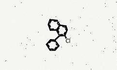 Clc1ccc2ccccc2c1-c1ccccc1